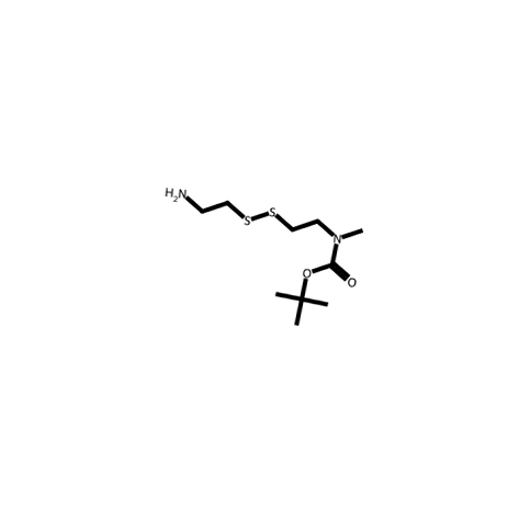 CN(CCSSCCN)C(=O)OC(C)(C)C